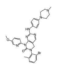 COc1ccc(N2C(=O)N(c3c(C)cccc3Br)Cc3cnc(Nc4ccc(N5CCN(C)CC5)cc4)nc32)nc1